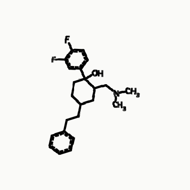 CN(C)CC1CC(CCc2ccccc2)CCC1(O)c1ccc(F)c(F)c1